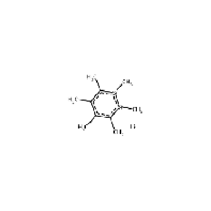 Cc1c(C)c(C)[si](C)[si](C)c1C.[Li]